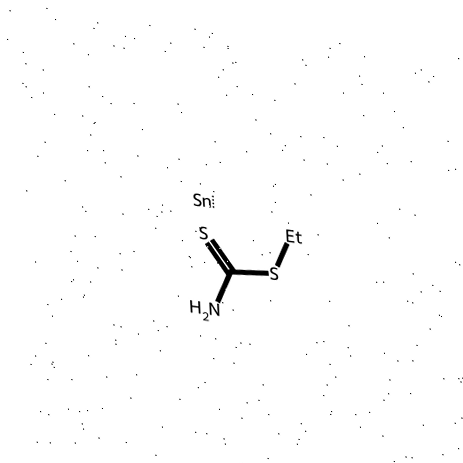 CCSC(N)=S.[Sn]